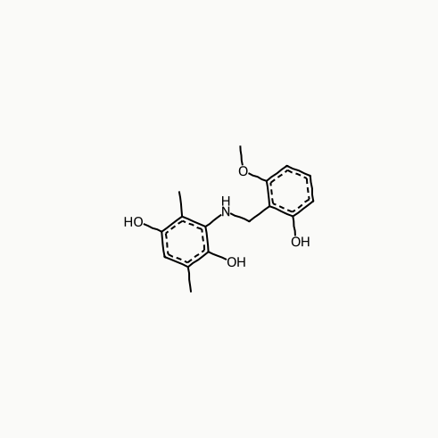 COc1cccc(O)c1CNc1c(C)c(O)cc(C)c1O